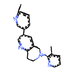 Cc1ccc(-c2cnc3c(c2)CN(c2ncccc2C)CC3)cn1